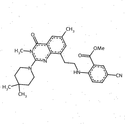 COC(=O)c1cc(C#N)ccc1NCCc1cc(C)cc2c(=O)n(C)c(N3CCC(C)(C)CC3)nc12